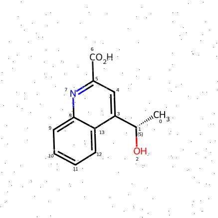 C[C@H](O)c1cc(C(=O)O)nc2ccccc12